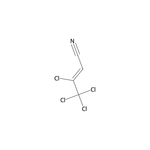 N#CC=C(Cl)C(Cl)(Cl)Cl